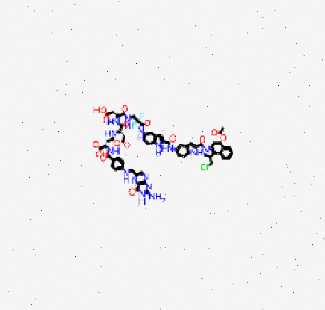 CC(=O)Oc1cc2c(c3ccccc13)C(CCl)CN2C(=O)c1cc2cc(NC(=O)c3cc4cc(NC(=O)C(F)(F)CNC(=O)[C@H](CC(=O)O)NC(=O)[C@H](CC=O)NC(=O)C[C@H](NC(=O)c5ccc(NCc6cnc7nc(N)[nH]c(=O)c7n6)cc5)C(=O)O)ccc4[nH]3)ccc2[nH]1